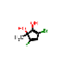 CC1(O)C(F)=CC(Br)=C1O